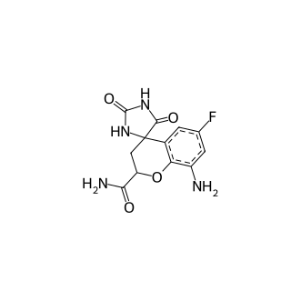 NC(=O)C1CC2(NC(=O)NC2=O)c2cc(F)cc(N)c2O1